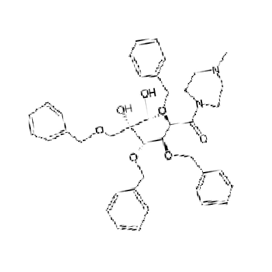 C[C@@H](O)[C@](O)(COCc1ccccc1)[C@@H](OCc1ccccc1)[C@H](OCc1ccccc1)[C@@H](OCc1ccccc1)C(=O)N1CCN(C)CC1